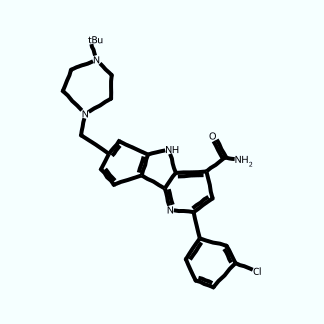 CC(C)(C)N1CCN(Cc2ccc3c(c2)[nH]c2c(C(N)=O)cc(-c4cccc(Cl)c4)nc23)CC1